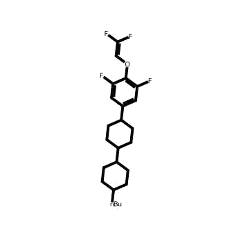 CCCCC1CCC(C2CCC(c3cc(F)c(OC=C(F)F)c(F)c3)CC2)CC1